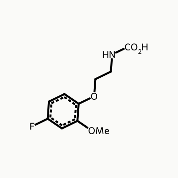 COc1cc(F)ccc1OCCNC(=O)O